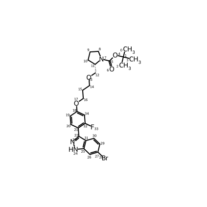 CC(C)(C)OC(=O)N1CCC[C@H]1COCCCOc1ccc(-c2n[nH]c3cc(Br)ccc23)c(F)c1